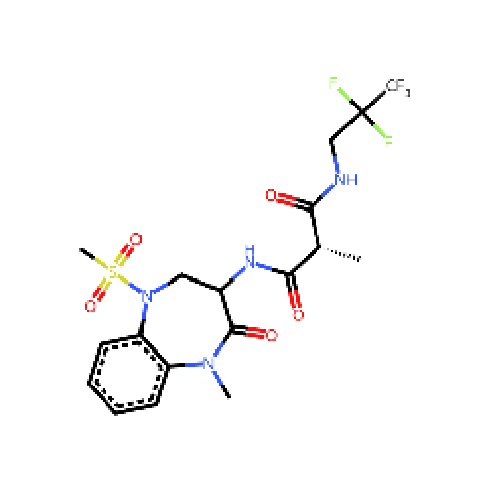 C[C@@H](C(=O)NCC(F)(F)C(F)(F)F)C(=O)NC1CN(S(C)(=O)=O)c2ccccc2N(C)C1=O